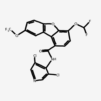 O=C(Nc1c(Cl)cncc1Cl)c1ccc(OC(F)F)c2oc3ccc(OC(F)(F)F)cc3c12